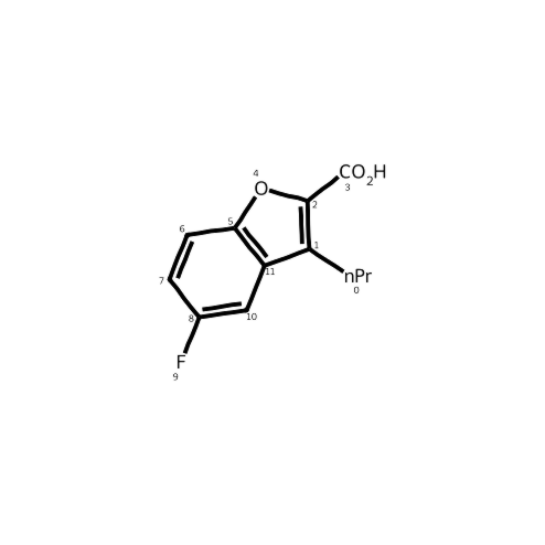 CCCc1c(C(=O)O)oc2ccc(F)cc12